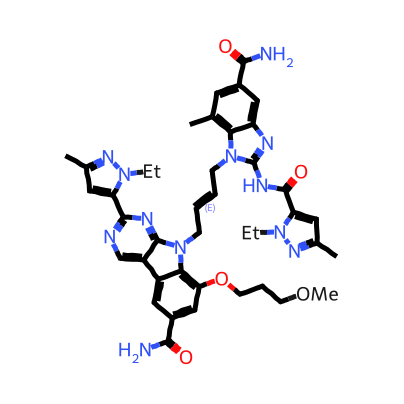 CCn1nc(C)cc1C(=O)Nc1nc2cc(C(N)=O)cc(C)c2n1C/C=C/Cn1c2nc(-c3cc(C)nn3CC)ncc2c2cc(C(N)=O)cc(OCCCOC)c21